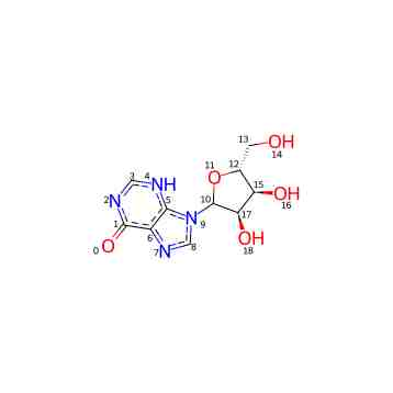 O=c1nc[nH]c2c1ncn2C1O[C@H](CO)[C@@H](O)[C@H]1O